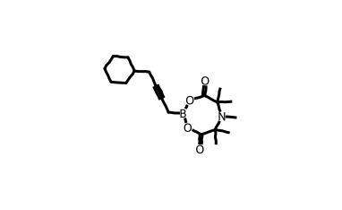 CN1C(C)(C)C(=O)OB(CC#CCC2CCCCC2)OC(=O)C1(C)C